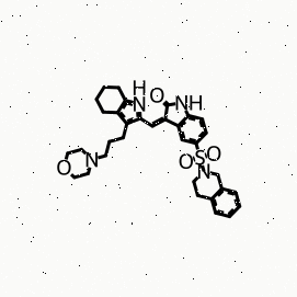 O=C1Nc2ccc(S(=O)(=O)N3CCc4ccccc4C3)cc2/C1=C/c1[nH]c2c(c1CCCN1CCOCC1)CCCC2